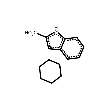 C1CCCCC1.O=C(O)c1cc2ccccc2[nH]1